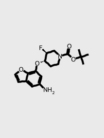 CC(C)(C)OC(=O)N1CC[C@H](Oc2cc(N)cc3ccoc23)[C@@H](F)C1